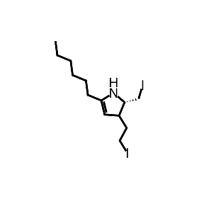 CCCCCCC1=CC(CCI)[C@@H](CI)N1